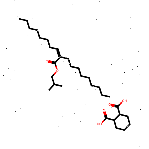 CCCCCCCC=C(CCCCCCCCC)C(=O)OCC(C)C.O=C(O)C1CCCCC1C(=O)O